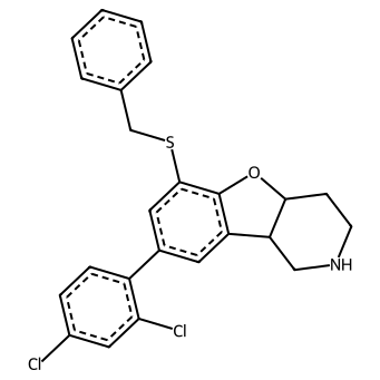 Clc1ccc(-c2cc(SCc3ccccc3)c3c(c2)C2CNCCC2O3)c(Cl)c1